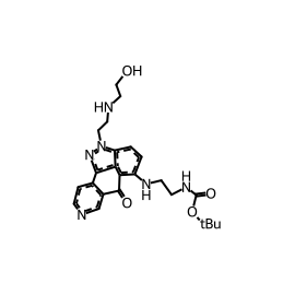 CC(C)(C)OC(=O)NCCNc1ccc2c3c(nn2CCNCCO)-c2ccncc2C(=O)c13